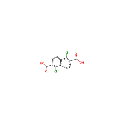 O=C(O)c1ccc2c(Cl)c(C(=O)O)ccc2c1Cl